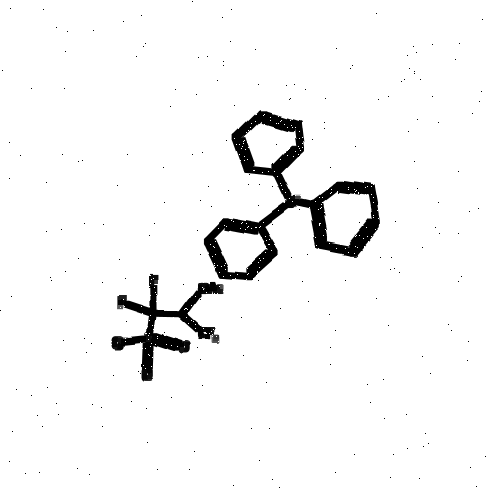 CC(=O)OC(C(F)(F)F)C(F)(F)S(=O)(=O)[O-].c1ccc([S+](c2ccccc2)c2ccccc2)cc1